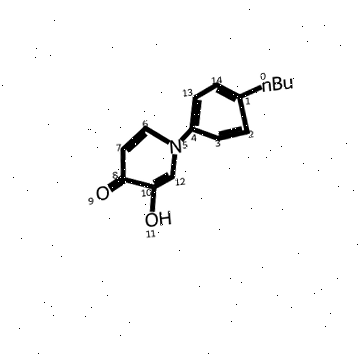 CCCCc1ccc(-n2ccc(=O)c(O)c2)cc1